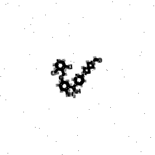 N=C(c1ccc(N2CC3(CN(C=O)C3)C2)nc1)c1cc(OCc2c(Cl)cncc2Cl)ccc1N